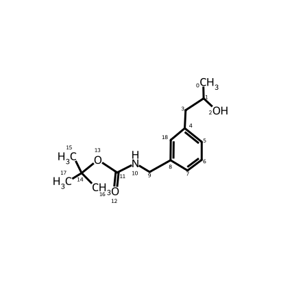 CC(O)Cc1cccc(CNC(=O)OC(C)(C)C)c1